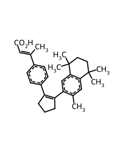 CC(=CC(=O)O)c1ccc(C2=C(c3cc4c(cc3C)C(C)(C)CCC4(C)C)CCC2)cc1